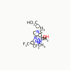 CCO.Cc1cc(C)c2c(c1)[C@@H](N(Cc1cc(C(F)(F)F)cc(C(F)(F)F)c1)c1nnn(C)n1)CCCN2C[C@H]1CC[C@H](C(=O)O)CC1